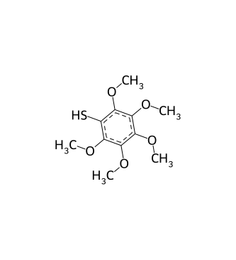 COc1c(S)c(OC)c(OC)c(OC)c1OC